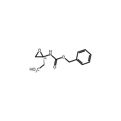 O=C(O)C[C@]1(NC(=O)OCc2ccccc2)CO1